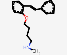 CNCCCCOc1ccccc1C=Cc1ccccc1